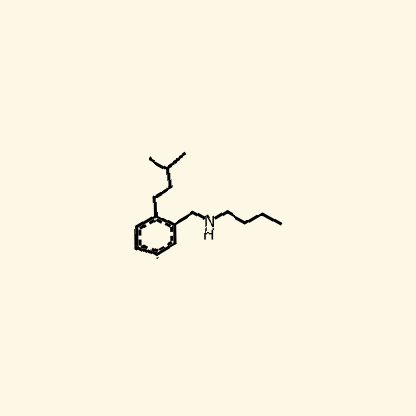 CCCCNCc1c[c]ccc1CCC(C)C